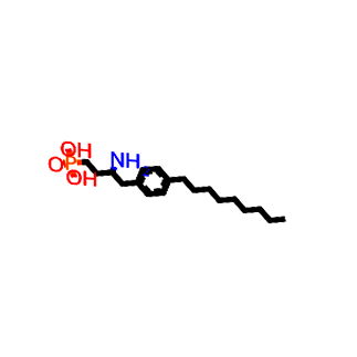 CCCCCCCCCc1ccc(CC(N)CCP(=O)(O)O)cc1